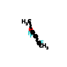 CCCCCCOc1ccc(-c2ccc(CCc3ccc(C)c(F)c3)cc2)c(F)c1F